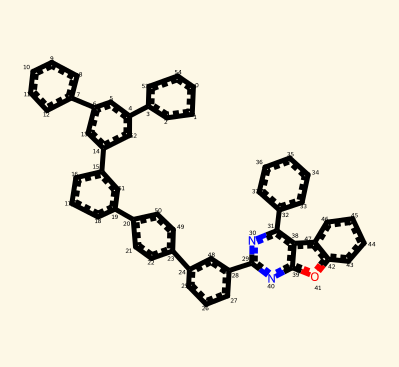 c1ccc(-c2cc(-c3ccccc3)cc(-c3cccc(-c4ccc(-c5cccc(-c6nc(-c7ccccc7)c7c(n6)oc6ccccc67)c5)cc4)c3)c2)cc1